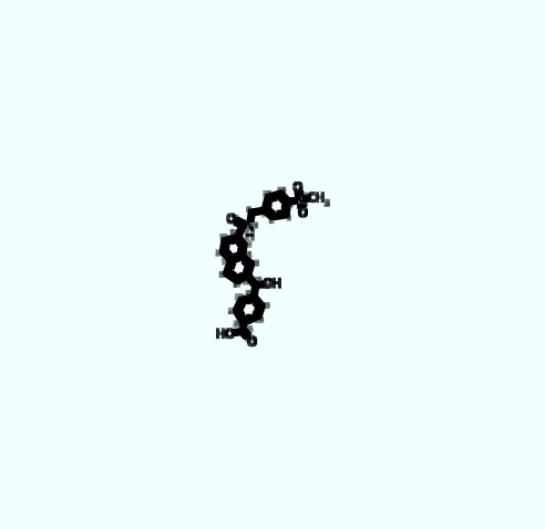 CS(=O)(=O)c1ccc(CNC(=O)c2ccc3ccc(C(O)c4ccc(C(=O)O)cc4)cc3c2)cc1